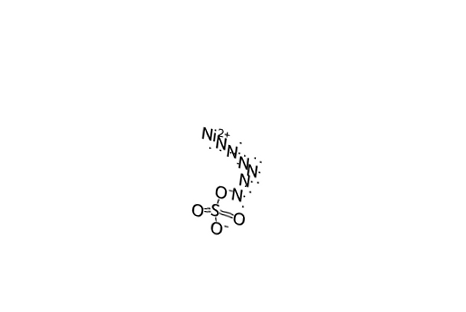 O=S(=O)([O-])[O-].[N].[N].[N].[N].[N].[N].[Ni+2]